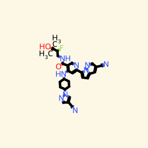 CC(C)(O)C(F)CNC(=O)c1cnc(-c2ccc3cc(C#N)cnn23)cc1NC1CCC(n2cc(C#N)cn2)CC1